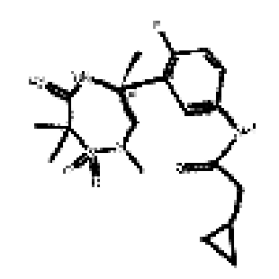 CN1C[C@@](C)(c2cc(NC(=O)CC3CC3)ccc2F)NC(=N)C(C)(C)S1(=O)=O